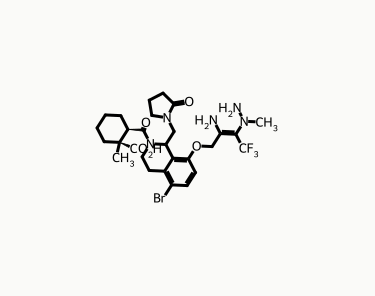 CN(N)/C(=C(\N)COc1ccc(Br)c2c1C(CN1CCCC1=O)N(C(=O)[C@@H]1CCCC[C@]1(C)C(=O)O)CC2)C(F)(F)F